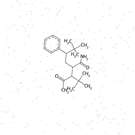 CC(=O)C(C(CC(c1ccccc1)C(C)(C)C)C(N)=O)C(C)(C)C